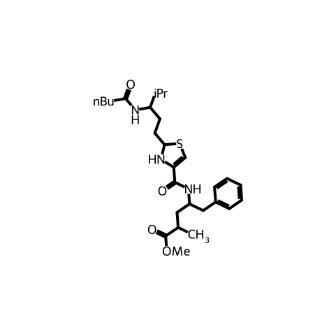 CCCCC(=O)NC(CCC1NC(C(=O)NC(Cc2ccccc2)CC(C)C(=O)OC)=CS1)C(C)C